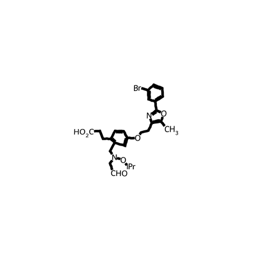 Cc1oc(-c2cccc(Br)c2)nc1CCOc1ccc(CCC(=O)O)c(CN(CC=O)OC(C)C)c1